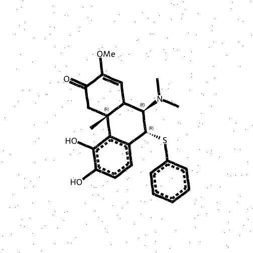 COC1=CC2[C@@H](N(C)C)[C@H](Sc3ccccc3)c3ccc(O)c(O)c3[C@]2(C)CC1=O